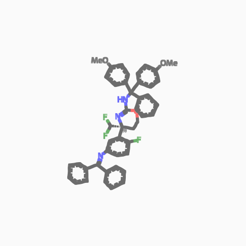 COc1ccc(C(NC2=N[C@@](c3cc(N=C(c4ccccc4)c4ccccc4)ccc3F)(C(F)F)CCO2)(c2ccccc2)c2ccc(OC)cc2)cc1